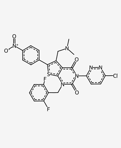 CN(C)Cc1c(-c2ccc([N+](=O)[O-])cc2)sc2c1c(=O)n(-c1ccc(Cl)nn1)c(=O)n2Cc1c(F)cccc1F